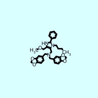 CCCCN1C(CN(Cc2ccc3c(c2)OCO3)Cc2ccc3c(c2)OCO3)=C(COC)NC1c1ccccc1